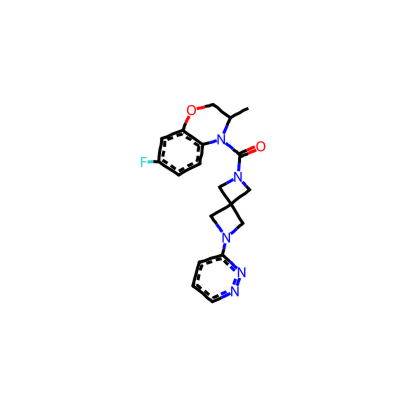 CC1COc2cc(F)ccc2N1C(=O)N1CC2(C1)CN(c1cccnn1)C2